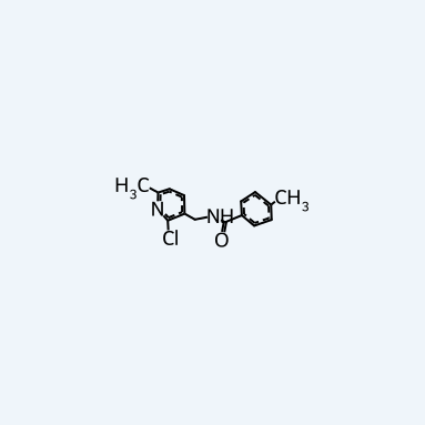 Cc1ccc(C(=O)NCc2ccc(C)nc2Cl)cc1